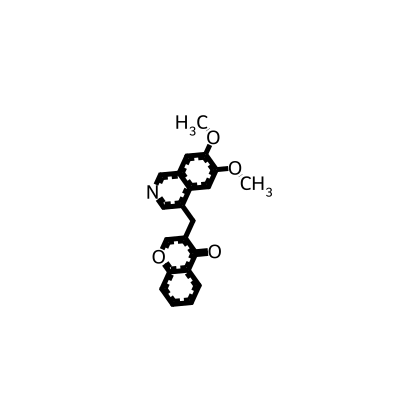 COc1cc2cncc(Cc3coc4ccccc4c3=O)c2cc1OC